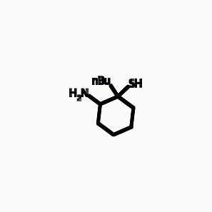 CCCCC1(S)CCCCC1N